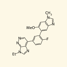 CCn1cnc2c(-c3ccc(F)c(-c4cc5ncn(C)c5cc4OC)c3)cnnc21